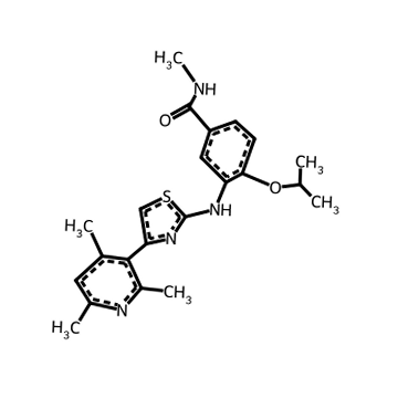 CNC(=O)c1ccc(OC(C)C)c(Nc2nc(-c3c(C)cc(C)nc3C)cs2)c1